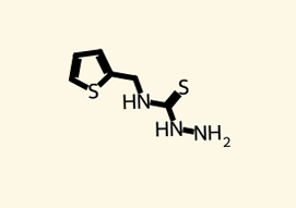 NNC(=S)NCc1cccs1